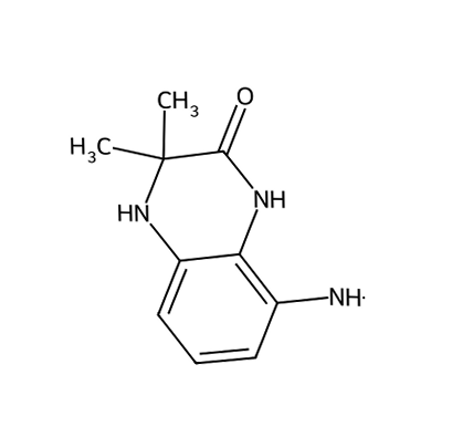 CC1(C)Nc2cccc([NH])c2NC1=O